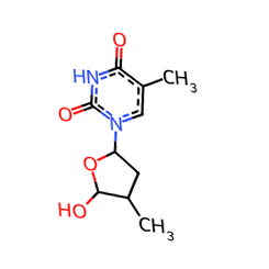 Cc1cn(C2CC(C)C(O)O2)c(=O)[nH]c1=O